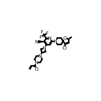 C=CC(=O)N1CCN(C2CN(c3cc(N4CCC5(CC4)OC(C)C=C5Cl)nc(C(F)(F)F)c3C#N)C2)CC1